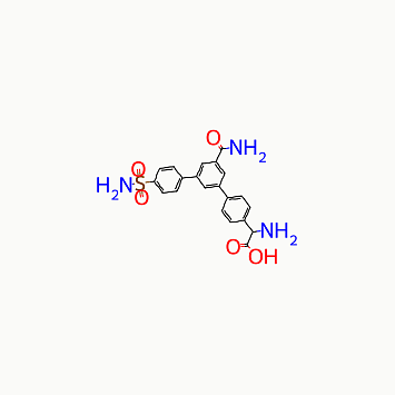 NC(=O)c1cc(-c2ccc(C(N)C(=O)O)cc2)cc(-c2ccc(S(N)(=O)=O)cc2)c1